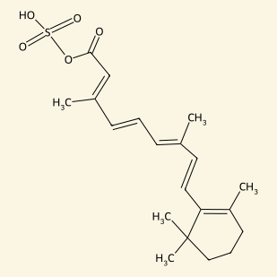 CC(C=CC1=C(C)CCCC1(C)C)=CC=CC(C)=CC(=O)OS(=O)(=O)O